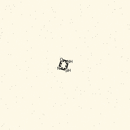 n1o[nH][siH]1